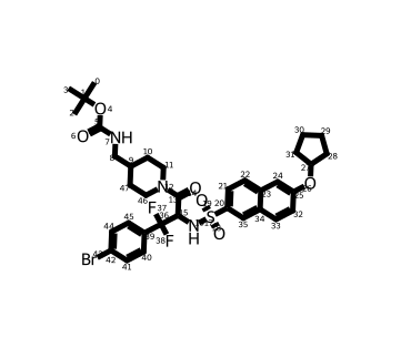 CC(C)(C)OC(=O)NCC1CCN(C(=O)C(NS(=O)(=O)c2ccc3cc(OC4CCCC4)ccc3c2)C(F)(F)c2ccc(Br)cc2)CC1